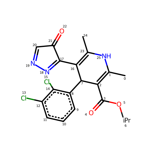 CC1=C(C(=O)OC(C)C)C(c2cccc(Cl)c2Cl)C(C2=NN=CC2=O)=C(C)N1